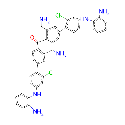 NCc1cc(-c2ccc(Nc3ccccc3N)cc2Cl)ccc1C(=O)c1ccc(-c2ccc(Nc3ccccc3N)cc2Cl)cc1CN